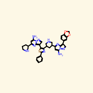 Nc1cc(C2CNCC(c3nc(-c4ccccc4)sc3-c3cnn4c(N)cc(C5CCCNC5)nc34)C2)nc2c(-c3ccc4c(c3)OCO4)cnn12